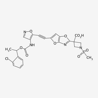 CC(OC(=O)Nc1cnoc1C#Cc1cc2oc(C3(C(=O)O)CN(S(C)(=O)=O)C3)nc2o1)c1ccccc1Cl